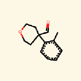 Cc1ccccc1C1(C=O)CCOCC1